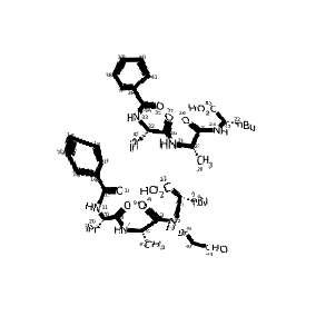 CCCC[C@H](NC(=O)[C@H](C)NC(=O)[C@@H](NC(=O)c1ccccc1)C(C)C)C(=O)O.CCCC[C@H](NC(=O)[C@H](C)NC(=O)[C@@H](NC(=O)c1ccccc1)C(C)C)C(=O)O.O=CCBr